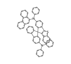 c1ccc(N(c2ccccc2)c2ccc3c(c2)C2(c4ccccc4-3)c3cc(N(c4ccccc4)c4cc5ccccc5c5ccccc45)ccc3-c3sc4ccccc4c32)cc1